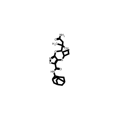 CC(C)(COc1noc(C(=O)NC2C3CC4CC(C3)CC2C4)c1SC1CCC1)CC(N)=O